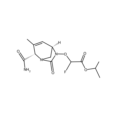 CC1=C[C@@H]2CN(C(=O)N2OC(F)C(=O)OC(C)C)[C@@H]1C(N)=O